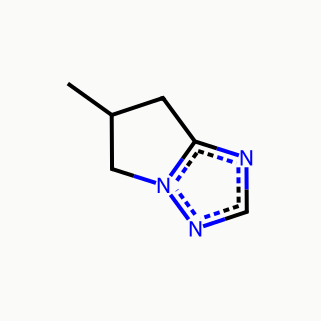 CC1Cc2ncnn2C1